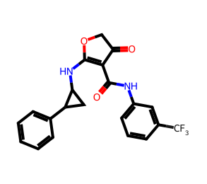 O=C1COC(NC2CC2c2ccccc2)=C1C(=O)Nc1cccc(C(F)(F)F)c1